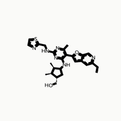 CCc1cc2cc(-c3c(C)nc(NCc4nccs4)nc3NC3C[C@H](CO)[C@@H](C)[C@H]3C)oc2cn1